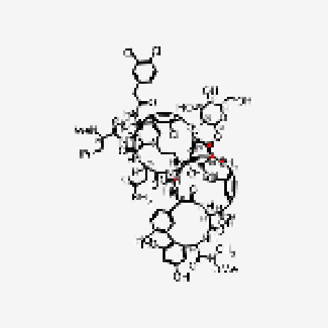 CN[C@H](CC(C)C)C(=O)N[C@H]1C(=O)N[C@@H](CC(N)=O)C(=O)N[C@H]2C(=O)N[C@H]3C(=O)N[C@H](C(=O)N[C@@H](C(=O)N(C)OC)c4cc(O)cc(O)c4-c4cc3ccc4O)[C@H](O)c3ccc(c(Cl)c3)Oc3cc2cc(c3O[C@@H]2O[C@H](CO)[C@@H](O)[C@H](O)[C@H]2O[C@H]2C[C@](C)(NCCn3ccc(NC(=O)Cc4ccc(Cl)c(Cl)c4)nc3=O)[C@H](O)[C@H](C)O2)Oc2ccc(cc2Cl)[C@H]1O